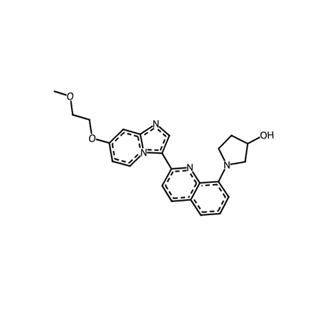 COCCOc1ccn2c(-c3ccc4cccc(N5CCC(O)C5)c4n3)cnc2c1